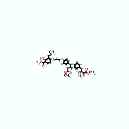 CCCc1c(OCCCSc2ccc(C(Sc3ccc(CC(=O)C(C)C(=O)OC)cc3)C(C)CC(=O)OC)cc2)ccc(C(C)=O)c1O